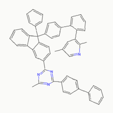 Cc1cnc(C)c(-c2ccccc2-c2ccc(C3(c4ccccc4)c4ccccc4-c4cc(-c5nc(C)nc(-c6ccc(-c7ccccc7)cc6)n5)ccc43)cc2)c1